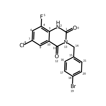 O=c1[nH]c2c(F)cc(Cl)cc2c(=O)n1Cc1ccc(Br)cc1